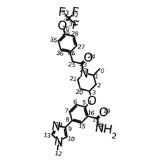 CC1CC(Oc2ccc(-c3cn(C)cn3)cc2C(N)=O)CCN1C(=O)Cc1ccc(OC(F)(F)F)cc1